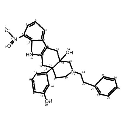 O=[N+]([O-])c1cccc2c3c([nH]c12)CC1(c2cccc(O)c2)CCN(CCc2ccccc2)CC1(O)C3